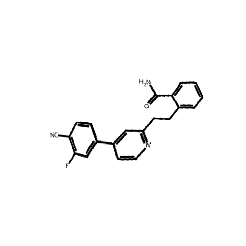 N#Cc1ccc(-c2ccnc([CH]Cc3ccccc3C(N)=O)c2)cc1F